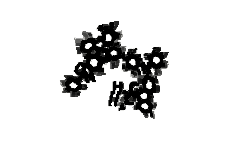 CC1(C)c2ccccc2-c2ccc(N(c3ccccc3)c3ccc(-c4ccc(C5(c6ccc7nc(-c8ccccc8)oc7c6)c6ccccc6-c6ccccc65)cc4)cc3)cc21